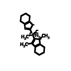 C[C]1C2=C(CCCC2)C(C)=[C]1[Ge]([CH3])([CH3])[C]1=CC2=C([CH]1)CCCC2